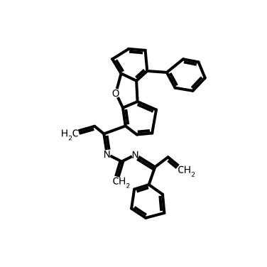 C=C/C(=N/C(=C)/N=C(/C=C)c1cccc2c1oc1cccc(-c3ccccc3)c12)c1ccccc1